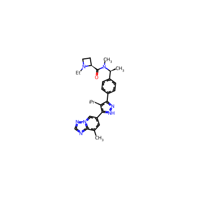 CCN1CC[C@H]1C(=O)N(C)[C@@H](C)c1ccc(-c2n[nH]c(-c3cc(C)c4ncnn4c3)c2C(C)C)cc1